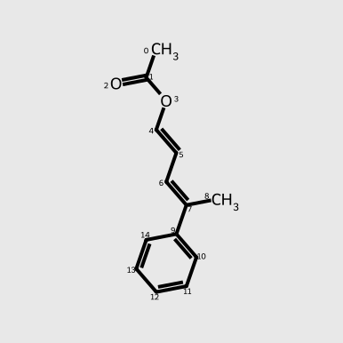 CC(=O)OC=CC=C(C)c1ccccc1